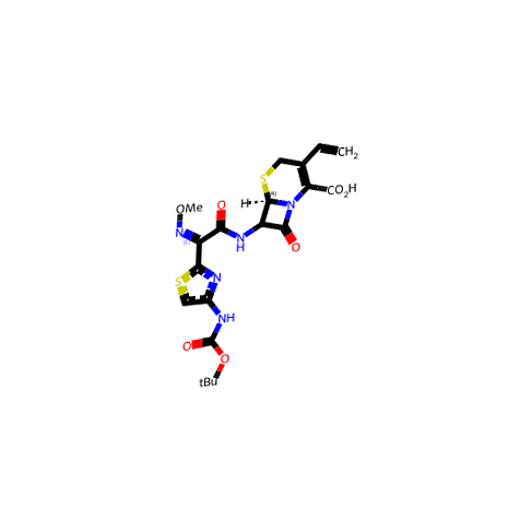 C=CC1=C(C(=O)O)N2C(=O)C(NC(=O)/C(=N\OC)c3nc(NC(=O)OC(C)(C)C)cs3)[C@H]2SC1